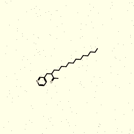 CCCCCCCCCCCCCC(Cc1cccnc1)C(C)=O